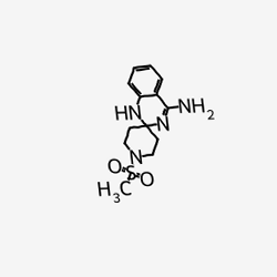 CS(=O)(=O)N1CCC2(CC1)N=C(N)c1ccccc1N2